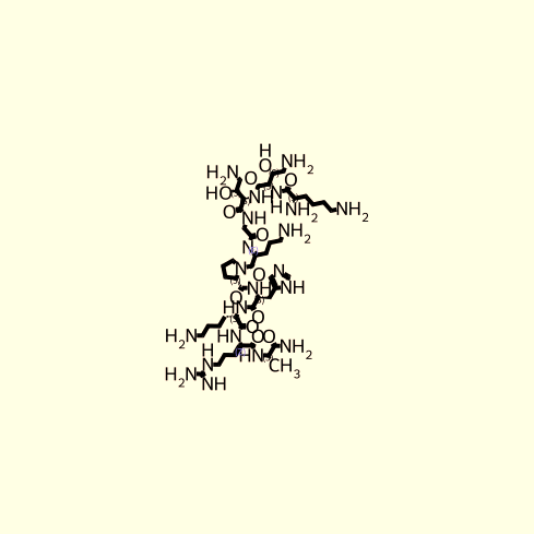 C[C@H](NC(=O)/C(=C/CCNC(=N)N)NC(=O)[C@H](CCCCN)NC(=O)[C@H](Cc1cnc[nH]1)NC(=O)[C@@H]1CCCN1C(=O)/C(CCCN)=N/C(=O)CNC(=O)[C@@H](NC(=O)[C@@H](NC(=O)[C@@H](N)CCCCN)[C@@H](O)CN)[C@@H](O)CN)C(N)=O